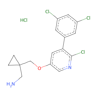 Cl.NCC1(COc2cnc(Cl)c(-c3cc(Cl)cc(Cl)c3)c2)CC1